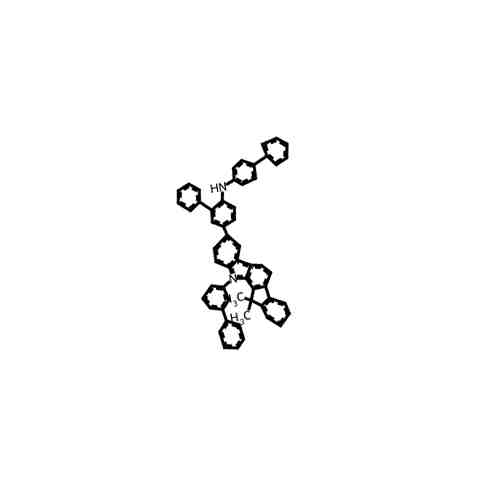 CC1(C)c2ccccc2-c2ccc3c4cc(-c5ccc(Nc6ccc(-c7ccccc7)cc6)c(-c6ccccc6)c5)ccc4n(-c4cccc(-c5ccccc5)c4)c3c21